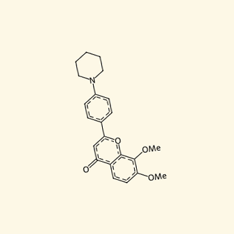 COc1ccc2c(=O)cc(-c3ccc(N4CCCCC4)cc3)oc2c1OC